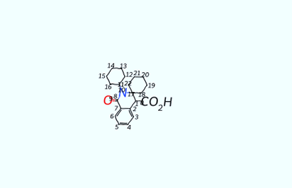 O=C(O)C1c2ccccc2C(=O)N(C2CCCCC2)C12CCCCC2